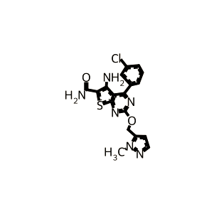 Cn1nccc1COc1nc(-c2cccc(Cl)c2)c2c(N)c(C(N)=O)sc2n1